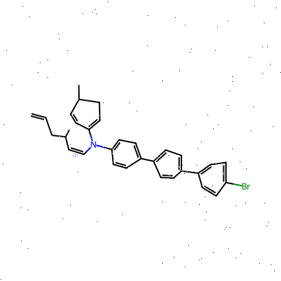 C=CCC(C)/C=C\N(C1=CCC(C)C=C1)c1ccc(-c2ccc(-c3ccc(Br)cc3)cc2)cc1